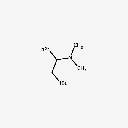 CCCC(CC(C)(C)C)N(C)C